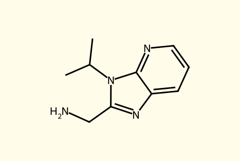 CC(C)n1c(CN)nc2cccnc21